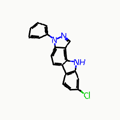 Clc1ccc2c(c1)[nH]c1c2ccc2c1cnn2-c1ccccc1